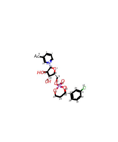 CC(=O)c1ccc[n+]([C@@H]2O[C@H](COP3(=O)OCC[C@@H](c4cccc(Cl)c4)O3)[C@H](O)C2O)c1